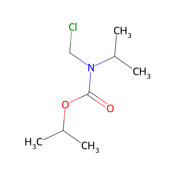 CC(C)OC(=O)N(CCl)C(C)C